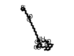 CCC(C)C(=O)OC1CC(C)C=C2C=CC(C)C(CCC3CC(OC(=O)NCCCCCCCCCCCCOC(=O)CCCCC4CCSS4)CC(=O)O3)C21